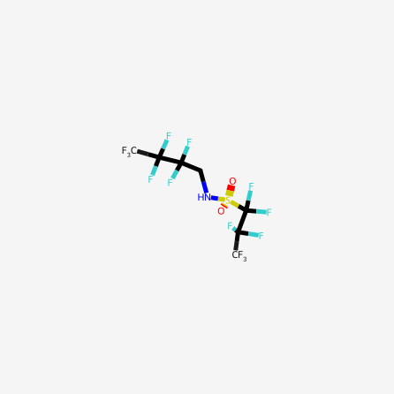 O=S(=O)(NCC(F)(F)C(F)(F)C(F)(F)F)C(F)(F)C(F)(F)C(F)(F)F